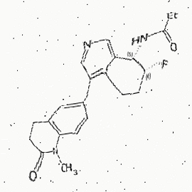 CCC(=O)N[C@H]1c2cncc(-c3ccc4c(c3)CCC(=O)N4C)c2CC[C@H]1F